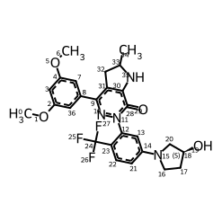 COc1cc(OC)cc(-c2nn(-c3cc(N4CC[C@H](O)C4)ccc3C(F)(F)F)c(=O)c3c2CC(C)N3)c1